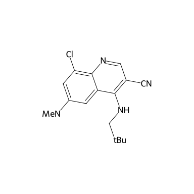 CNc1cc(Cl)c2ncc(C#N)c(NCC(C)(C)C)c2c1